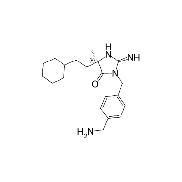 C[C@]1(CCC2CCCCC2)NC(=N)N(Cc2ccc(CN)cc2)C1=O